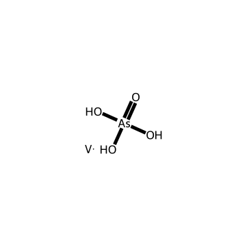 O=[As](O)(O)O.[V]